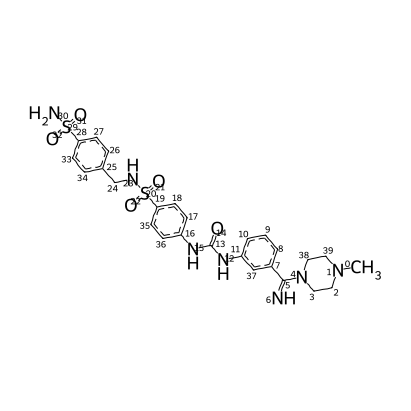 CN1CCN(C(=N)c2cccc(NC(=O)Nc3ccc(S(=O)(=O)NCc4ccc(S(N)(=O)=O)cc4)cc3)c2)CC1